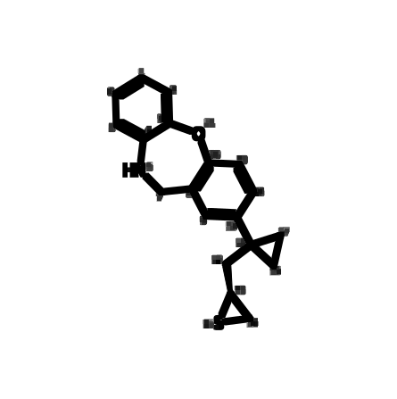 c1ccc2c(c1)NCc1cc(C3(C[C@H]4CS4)CC3)ccc1O2